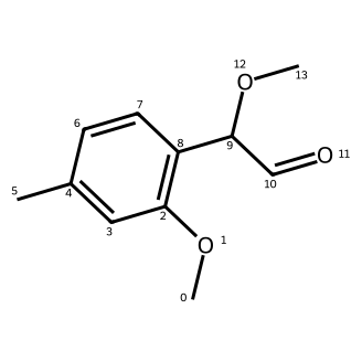 COc1cc(C)ccc1C(C=O)OC